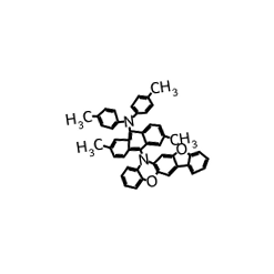 Cc1ccc(N(c2ccc(C)cc2)c2c3cc(C)ccc3c(N3c4ccccc4Oc4cc5c(cc43)oc3ccccc35)c3cc(C)ccc23)cc1